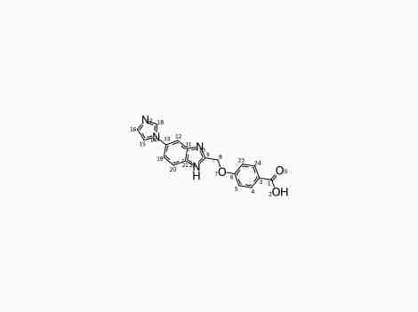 O=C(O)c1ccc(OCc2nc3cc(-n4ccnc4)ccc3[nH]2)cc1